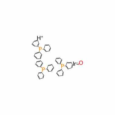 O=[CH][Ir-].[H+].c1ccc(P(c2ccccc2)c2ccccc2)cc1.c1ccc(P(c2ccccc2)c2ccccc2)cc1.c1ccc(P(c2ccccc2)c2ccccc2)cc1